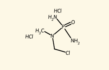 CN(CCl)P(N)(N)=O.Cl.Cl